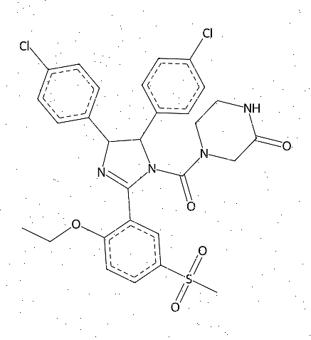 CCOc1ccc(S(C)(=O)=O)cc1C1=NC(c2ccc(Cl)cc2)C(c2ccc(Cl)cc2)N1C(=O)N1CCNC(=O)C1